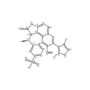 COc1cc2c(cc1-c1c(C)noc1C)ncc1oc(=O)n([C@H](C)c3cccc(S(C)(=O)=O)c3)c12